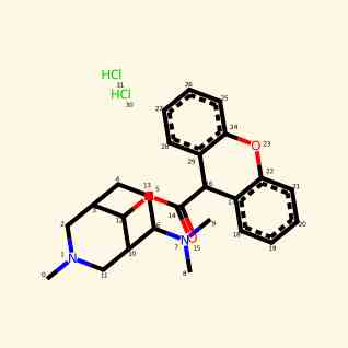 CN1CC2CCC(N(C)C)C(C1)C2OC(=O)C1c2ccccc2Oc2ccccc21.Cl.Cl